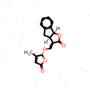 CC1=CC(=O)O[C@H]1O/C=C1/C(=O)O[C@@H]2c3ccccc3C[C@H]12